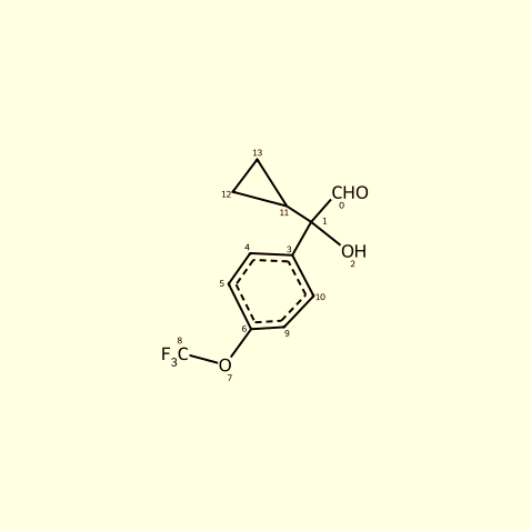 O=CC(O)(c1ccc(OC(F)(F)F)cc1)C1CC1